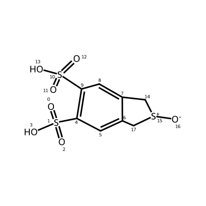 O=S(=O)(O)c1cc2c(cc1S(=O)(=O)O)C[S+]([O-])C2